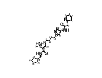 O=C(Cc1ccccn1)Nc1cn(CCCCN2C=C(C(=O)NCC3CCCC3)NN2)nn1